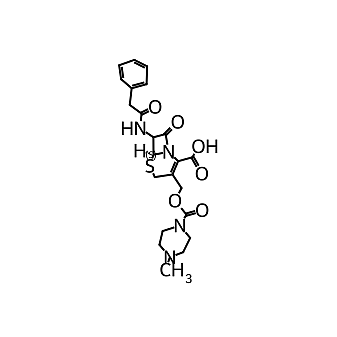 CN1CCN(C(=O)OCC2=C(C(=O)O)N3C(=O)C(NC(=O)Cc4ccccc4)[C@@H]3SC2)CC1